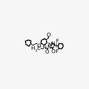 CCN(C(=O)n1nnn(-c2c(F)cccc2F)c1=O)c1cc(C=O)ccc1OCCc1ccccc1